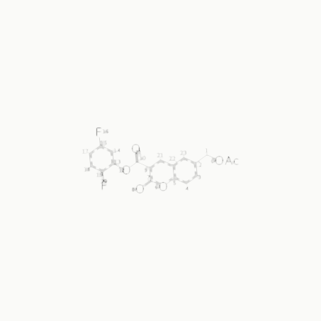 CC(=O)OCc1ccc2oc(=O)c(C(=O)Oc3cc(F)ccc3F)cc2c1